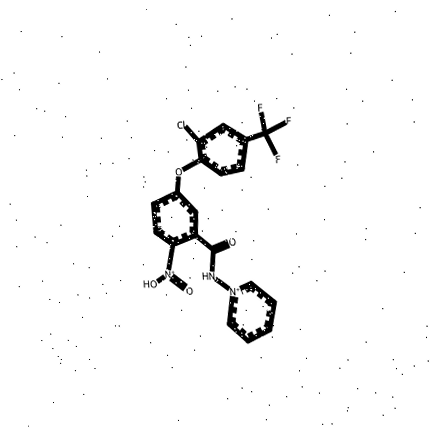 O=C(N[n+]1ccccc1)c1cc(Oc2ccc(C(F)(F)F)cc2Cl)ccc1[N+](=O)O